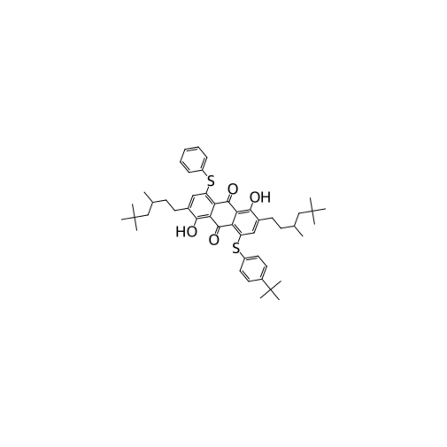 CC(CCc1cc(Sc2ccccc2)c2c(c1O)C(=O)c1c(Sc3ccc(C(C)(C)C)cc3)cc(CCC(C)CC(C)(C)C)c(O)c1C2=O)CC(C)(C)C